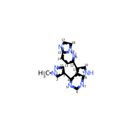 Cn1cc(-c2ncnc3[nH]cc(-c4ccc5nccn5n4)c23)cn1